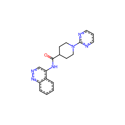 O=C(Nc1cnnc2ccccc12)C1CCN(c2ncccn2)CC1